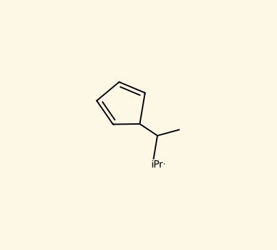 C[C](C)C(C)C1C=CC=C1